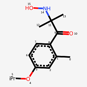 Cc1cc(OC(C)C)ccc1C(=O)C(C)(C)NO